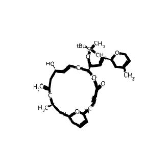 C=C1C[C@H](C)C[C@@H]2CC=C[C@@H](C/C=C\C(=O)O[C@H](C(/C=C/[C@@H]3CC(C)=CCO3)O[Si](C)(C)C(C)(C)C)C/C=C/[C@@H](O)C1)O2